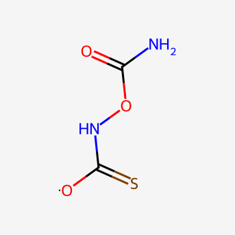 NC(=O)ONC([O])=S